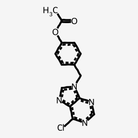 CC(=O)Oc1ccc(Cn2cnc3c(Cl)ncnc32)cc1